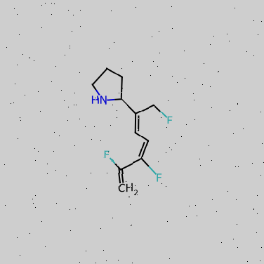 C=C(F)/C(F)=C\C=C(/CF)C1CCCN1